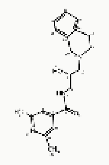 Cc1cc(C(=O)NC[C@H](O)CN2CCc3ccccc3C2)cc(C)n1